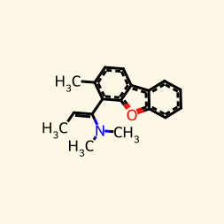 C/C=C(/c1c(C)ccc2c1oc1ccccc12)N(C)C